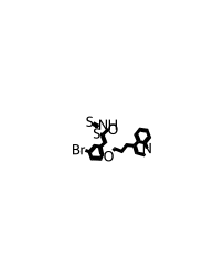 O=C1NC(=S)S/C1=C\c1cc(Br)ccc1OCCCc1ccnc2ccccc12